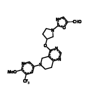 COc1ncc(N2CCc3ncnc(OC4CCN(c5ncc(C=O)o5)C4)c3C2)cc1C(F)(F)F